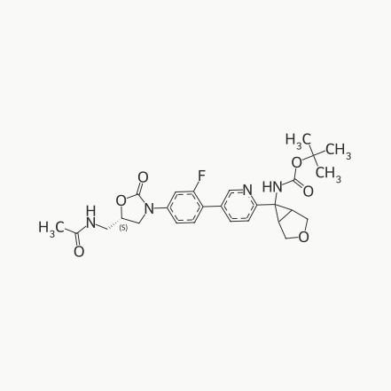 CC(=O)NC[C@H]1CN(c2ccc(-c3ccc(C4(NC(=O)OC(C)(C)C)C5COCC54)nc3)c(F)c2)C(=O)O1